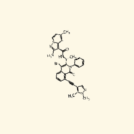 Cc1ccn2nc(N)c(C(=O)N[C@H](C)c3c(Br)c4cccc(C#Cc5cnn(C)c5C)c4c(=O)n3-c3ccccc3)c2n1